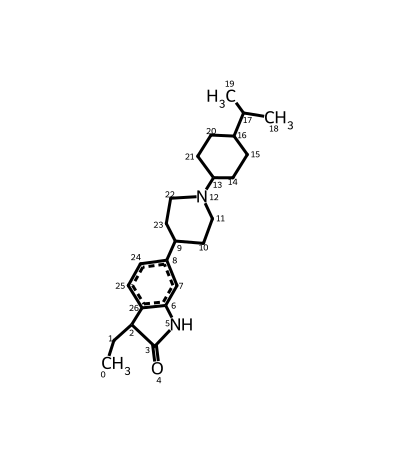 CCC1C(=O)Nc2cc(C3CCN(C4CCC(C(C)C)CC4)CC3)ccc21